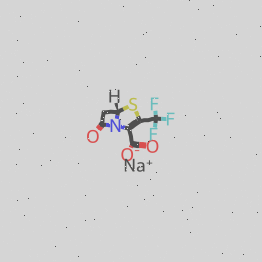 O=C([O-])C1=C(C(F)(F)F)S[C@H]2CC(=O)N12.[Na+]